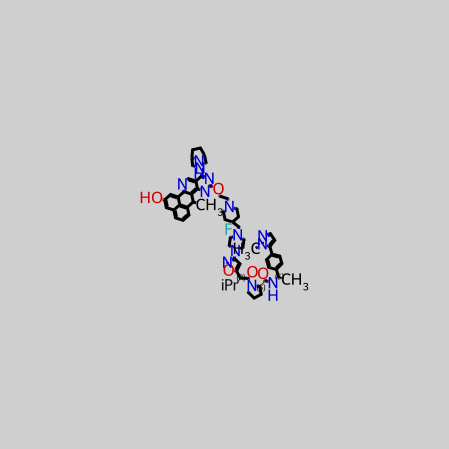 CC1c2c(ncc3c(N4CC5CCC(C4)N5)nc(OCCN4CCC(F)(CN5CCN(c6cc([C@H](C(=O)N7CCC[C@H]7C(=O)N[C@@H](C)c7ccc(-c8ccnn8C)cc7)C(C)C)on6)CC5)CC4)nc23)-c2cc(O)cc3cccc1c23